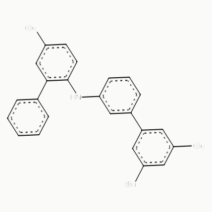 CC(C)(C)c1cc(-c2cccc(Nc3ccc(C(C)(C)C)cc3-c3ccccc3)c2)cc(C(C)(C)C)c1